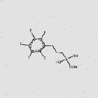 CO[Si](O)(O)CCCc1c(F)c(F)c(F)c(F)c1F